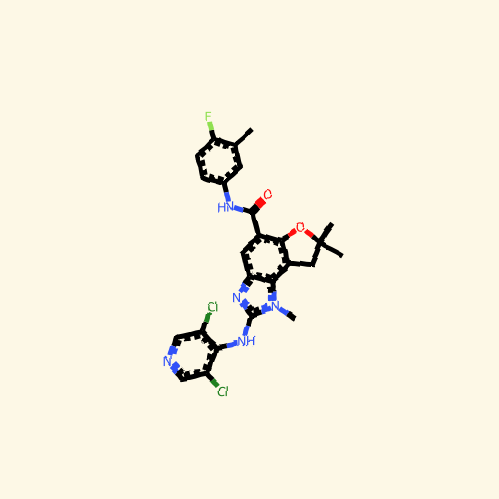 Cc1cc(NC(=O)c2cc3nc(Nc4c(Cl)cncc4Cl)n(C)c3c3c2OC(C)(C)C3)ccc1F